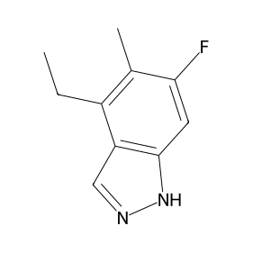 CCc1c(C)c(F)cc2[nH]ncc12